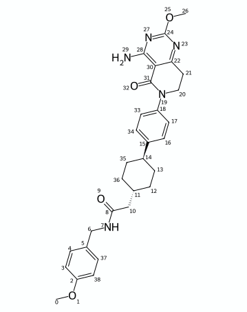 COc1ccc(CNC(=O)C[C@H]2CC[C@H](c3ccc(N4CCc5nc(OC)nc(N)c5C4=O)cc3)CC2)cc1